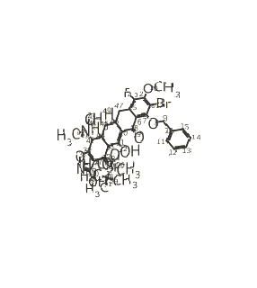 COc1c(F)c2c(c(OCc3ccccc3)c1Br)C(=O)C1=C(O)[C@]3(O[Si](C)(C)C(C)(C)C)C(=O)c4c(O)noc4[C@@H](N(C)C)[C@@H]3C[C@@H]1C2